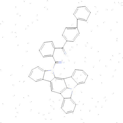 N=C(c1ccc(-c2ccccc2)cc1)c1ccccc1C(=N)n1c2ccccc2c2cc3c4ccccc4n4c5ccccc5c(c21)c34